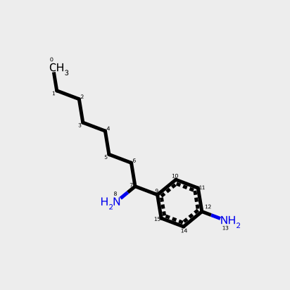 CCCCCCCC(N)c1ccc(N)cc1